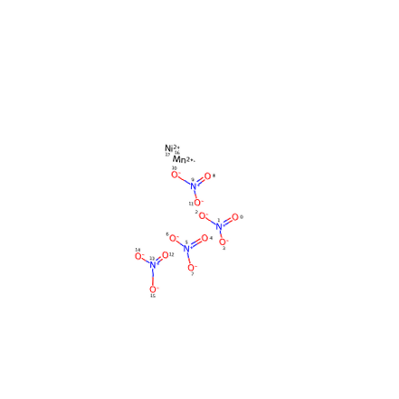 O=[N+]([O-])[O-].O=[N+]([O-])[O-].O=[N+]([O-])[O-].O=[N+]([O-])[O-].[Mn+2].[Ni+2]